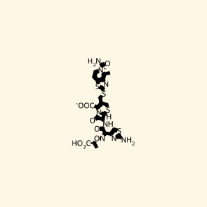 Cc1c2nc(SCC3=C(C(=O)[O-])N4C(=O)C(NC(=O)/C(=N\O[C@@H](C)C(=O)O)c5csc(N)n5)[C@@H]4SC3)sc2cc[n+]1C(N)=O